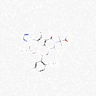 COc1ccc(F)cc1[C@H](CN1c2sc(-n3nccn3)c(C)c2C(=O)N(C(C)(C)C(N)=O)C1O)OC[C@H](C)C#N